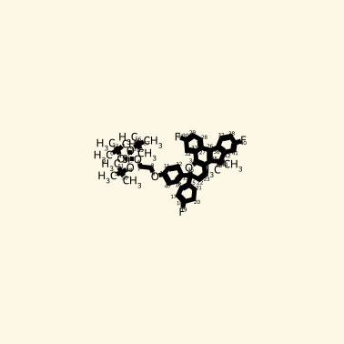 CC(C)(C)O[Si](OCCOc1ccc(C2(C3=CC=C(F)CC3)C=Cc3c4c(c5ccc(F)cc5c3O2)-c2ccc(F)cc2C4(C)C)cc1)(OC(C)(C)C)OC(C)(C)C